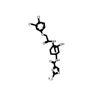 O=C(COc1ccc(Cl)c(Cl)c1)NC12CCC(NC(=O)c3coc(C(F)(F)F)n3)(CC1)CC2O